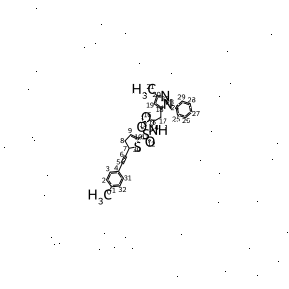 Cc1ccc(C#CC2CC=C(S(=O)(=O)NC(=O)Cc3cc(C)nn3-c3ccccc3)S2)cc1